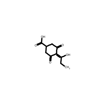 CCC(O)=C1C(=O)CC(C(=O)O)CC1=O